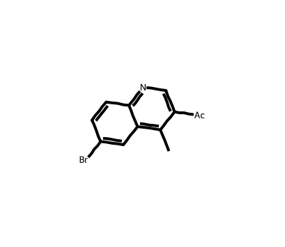 CC(=O)c1cnc2ccc(Br)cc2c1C